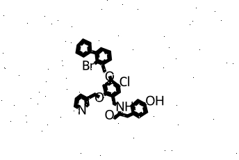 O=CC(Cc1ccc(O)cc1)NCc1cc(Cl)c(OCc2cccc(-c3ccccc3)c2Br)cc1OCc1cccnc1